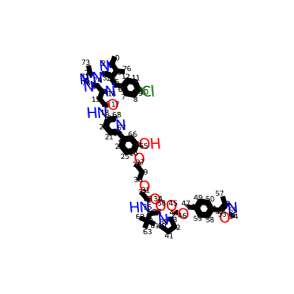 CC1=NC2=C(C(c3ccc(Cl)cc3)=NC(CC(=O)Nc3ccc(-c4ccc(OCCCOCC(=O)NC(C(=O)N5CCC[C@H]5C(=O)OCc5ccc(-c6ocnc6C)cc5)C(C)(C)C)c(O)c4)nc3)c3nnc(C)n32)C1C